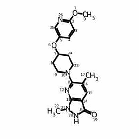 COc1ccc(OC2CCN(c3nc4c(cc3C)c(=O)[nH]n4C)CC2)cn1